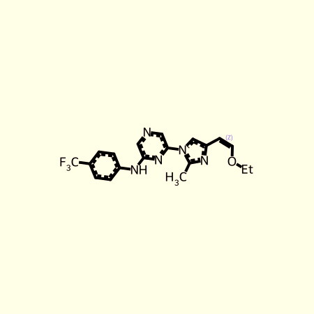 CCO/C=C\c1cn(-c2cncc(Nc3ccc(C(F)(F)F)cc3)n2)c(C)n1